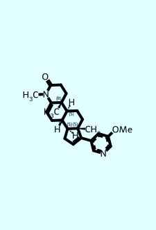 COc1cncc(C2=CC[C@H]3[C@@H]4CC=C5N(C)C(=O)CC[C@]5(C)[C@H]4CC[C@]23C)c1